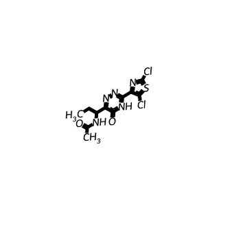 CCC(NC(C)=O)c1nnc(-c2nc(Cl)sc2Cl)[nH]c1=O